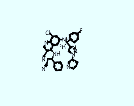 [2H][C@](Nc1cc(Cl)c2ncc(C#N)c(NC(CC#N)c3ccccc3)c2c1)(c1ccc(F)cc1)c1cn(-c2cccnc2)nn1